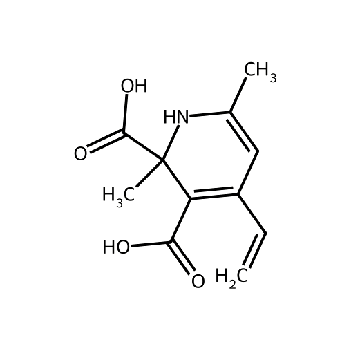 C=CC1=C(C(=O)O)C(C)(C(=O)O)NC(C)=C1